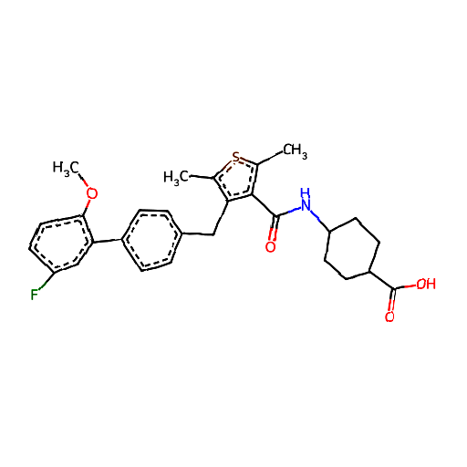 COc1ccc(F)cc1-c1ccc(Cc2c(C)sc(C)c2C(=O)NC2CCC(C(=O)O)CC2)cc1